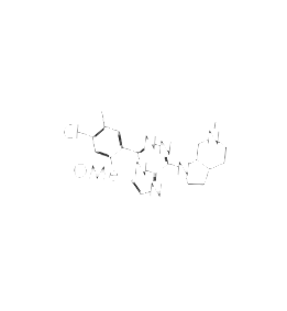 COc1cc(Cl)c(C)cc1-c1nnc(N2CCC3CCN(C)CC32)c2nccn12